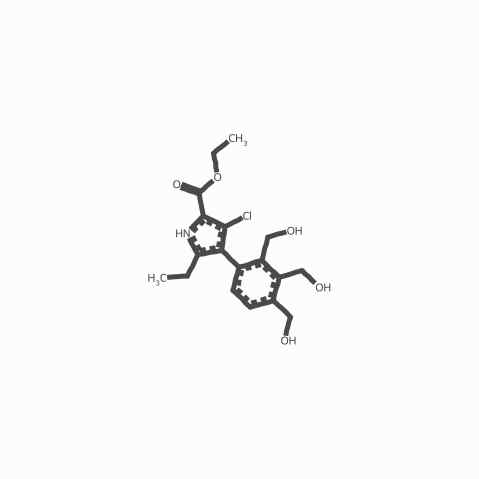 CCOC(=O)c1[nH]c(CC)c(-c2ccc(CO)c(CO)c2CO)c1Cl